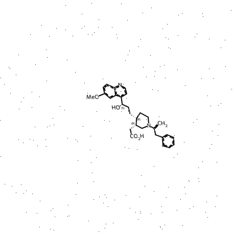 C=C(Cc1ccccc1)N1CC[C@@H](CC[C@H](O)c2ccnc3ccc(OC)cc23)[C@@H](CC(=O)O)C1